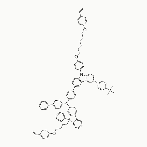 C=Cc1ccc(OCCCCCCOc2ccc(-n3c4ccc(-c5ccc(N(c6ccc(-c7ccccc7)cc6)c6ccc7c(c6)C(CCCCOc6ccc(C=C)cc6)(c6ccccc6)c6ccccc6-7)cc5)cc4c4cc(-c5ccc(C(C)(C)C)cc5)ccc43)cc2)cc1